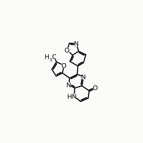 Cc1ccc(-c2nc3[nH]ccc(=O)c3nc2-c2ccc3ncoc3c2)o1